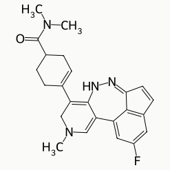 CN1C=C2C(=C(C3=CCC(C(=O)N(C)C)CC3)C1)NN=C1C=Cc3cc(F)cc2c31